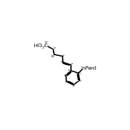 CCCCCc1ccccc1C=CCCCC(=O)O